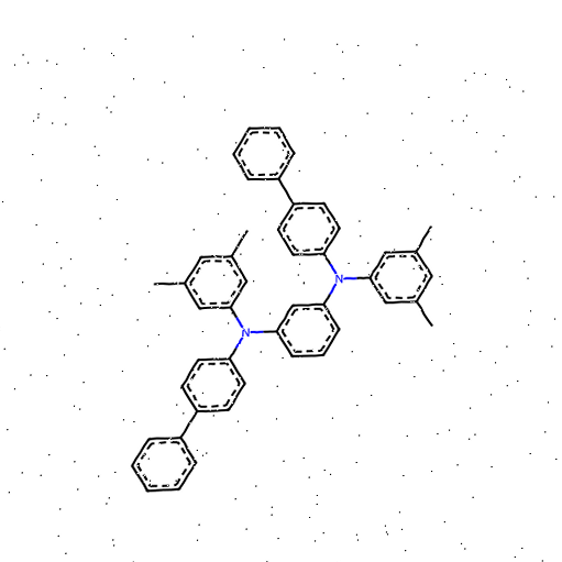 Cc1cc(C)cc(N(c2ccc(-c3ccccc3)cc2)c2cccc(N(c3ccc(-c4ccccc4)cc3)c3cc(C)cc(C)c3)c2)c1